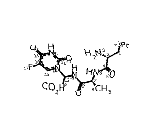 CC(C)C[C@H](N)C(=O)N[C@@H](C)C(=O)NC(C(=O)O)n1cc(F)c(=O)[nH]c1=O